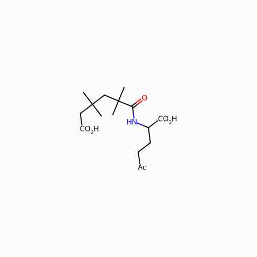 CC(=O)CCC(NC(=O)C(C)(C)CC(C)(C)CC(=O)O)C(=O)O